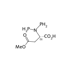 COC(=O)C[C@@H](C(=O)O)N(P)P